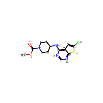 CC(C)(C)OC(=O)N1CCC(Nc2ncnc3sc(Cl)cc23)CC1